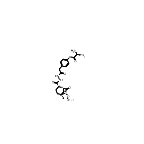 CC(N)C(=O)Oc1ccc(CC(=O)NNC(=O)[C@@H]2CC[C@@H]3CN2C(=O)N3OS(=O)(=O)O)cc1